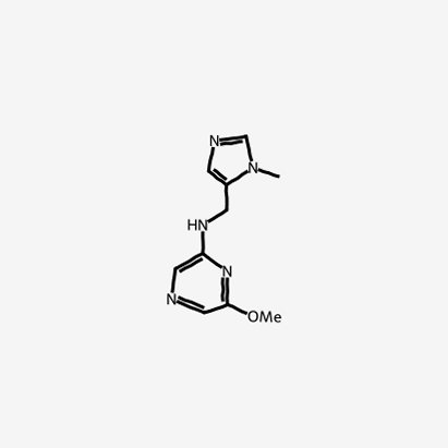 COc1cncc(NCc2cncn2C)n1